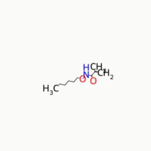 C=C(C)C(=O)NOCCCCCC